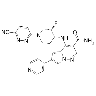 N#Cc1ccc(N2CC[C@@H](Nc3c(C(N)=O)cnn4cc(-c5ccncc5)cc34)[C@H](F)C2)nn1